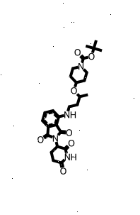 CC(CCNc1cccc2c1C(=O)N(C1CCC(=O)NC1=O)C2=O)OC1CCN(C(=O)OC(C)(C)C)CC1